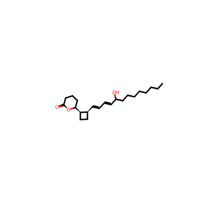 CCCCCCCCC(O)/C=C/C=C/[C@H]1CC[C@H]1C1CCCC(=O)O1